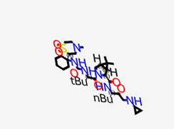 CCCC[C@H](NC(=O)[C@@H]1[C@@H]2[C@H](CN1C(=O)[C@@H](NC(=O)NC1([C@H]3CN(C)CCS3(=O)=O)CCCCC1)C(C)(C)C)C2(C)C)C(=O)CNC1CC1